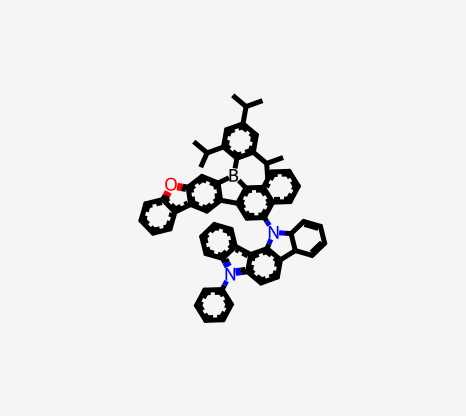 CC(C)c1cc(C(C)C)c(B2c3cc4oc5ccccc5c4cc3-c3cc(N4c5c(ccc6c5c5ccccc5n6-c5ccccc5)C5C=CC=CC54)c4ccccc4c32)c(C(C)C)c1